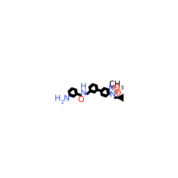 CN1c2cc(-c3cccc(CNC(=O)c4cccc(N)c4)c3)ccc2N(CC2CC2)S1(=O)=O